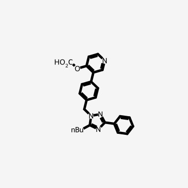 CCCCc1nc(-c2ccccc2)nn1Cc1ccc(-c2cnccc2OC(=O)O)cc1